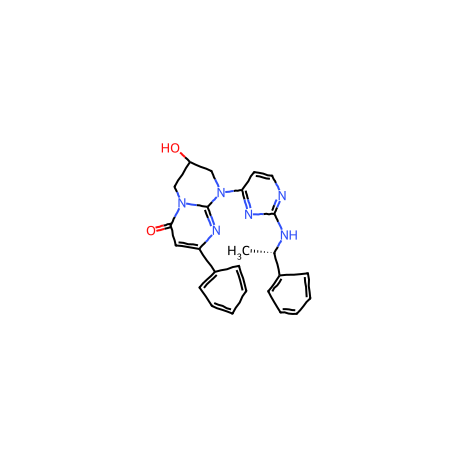 C[C@H](Nc1nccc(N2CC(O)Cn3c2nc(-c2ccccc2)cc3=O)n1)c1ccccc1